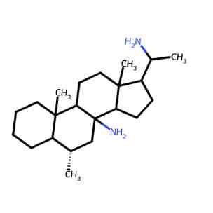 CC(N)C1CCC2C1(C)CCC1C3(C)CCCCC3[C@@H](C)CC21N